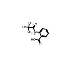 CC(C)(Cl)C(=O)Nc1ccccc1C(=O)O